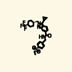 CCS(=O)(=O)c1ccc(CNC(=O)c2ccc3c(C4CC4)n(C[C@H]4CC[C@H](C(F)(F)F)CC4)nc3c2)cc1